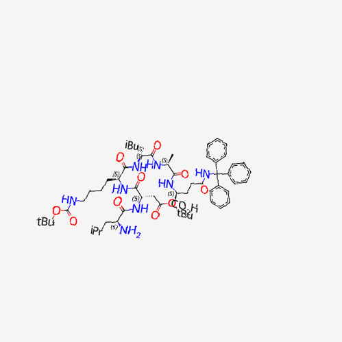 CC[C@H](C)[C@H](NC(=O)[C@H](CCCCNC(=O)OC(C)(C)C)NC(=O)[C@H](CC(=O)OC(C)(C)C)NC(=O)[C@@H](N)CC(C)C)C(=O)N[C@@H](C)C(=O)N[C@@H](CCC(=O)NC(c1ccccc1)(c1ccccc1)c1ccccc1)C(=O)O